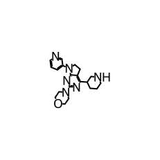 c1cncc(N2CCc3c(C4CCCNC4)nc(N4CCOCC4)nc32)c1